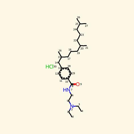 CCN(CC)CCNC(=O)c1ccc(CC(C)CCCC(C)CCCC(C)C)cc1.Cl